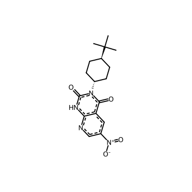 CC(C)(C)[C@H]1CC[C@H](n2c(=O)[nH]c3ncc([N+](=O)[O-])cc3c2=O)CC1